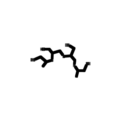 CC(CS)SCC(CS)SCC(CS)SC(C)CS